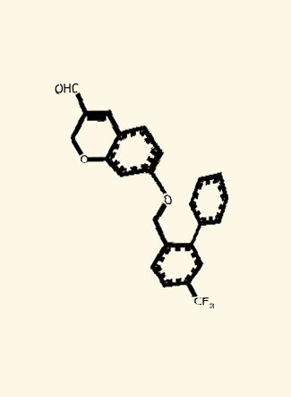 O=CC1=Cc2ccc(OCc3ccc(C(F)(F)F)cc3-c3ccccc3)cc2OC1